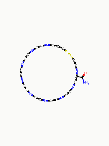 NC(=O)c1cnccnccnccnccnccnccnccncccssccn1